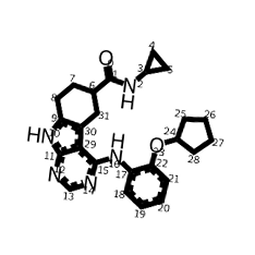 O=C(NC1CC1)C1CCc2[nH]c3ncnc(Nc4ccccc4OC4CCCC4)c3c2C1